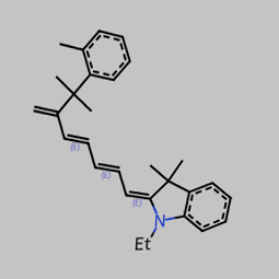 C=C(/C=C/C=C/C=C1/N(CC)c2ccccc2C1(C)C)C(C)(C)c1ccccc1C